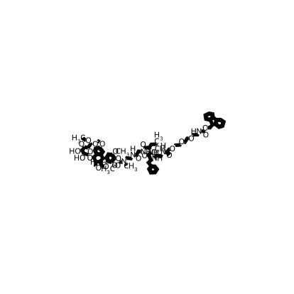 COc1cc([C@@H]2c3cc4c(cc3[C@@H](OC3OC5COC(C)OC5C(O)C3O)[C@H]3COC(=O)[C@H]23)OCO4)cc(OC)c1OC(=O)N(C)CCNC(=O)CNC(=O)C(CC(C)C)NC(=O)C(Cc1ccccc1)NC(=O)CNC(=O)COCCOCCOCCNC(=O)OCC1c2ccccc2-c2ccccc21